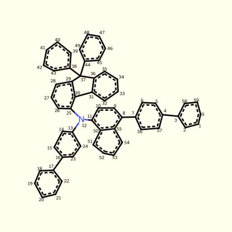 c1ccc(-c2ccc(-c3ccc(N(c4ccc(-c5ccccc5)cc4)c4cccc5c4-c4ccccc4C5(c4ccccc4)c4ccccc4)c4ccccc34)cc2)cc1